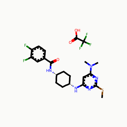 CSc1nc(N[C@H]2CC[C@@H](NC(=O)c3ccc(F)c(F)c3)CC2)cc(N(C)C)n1.O=C(O)C(F)(F)F